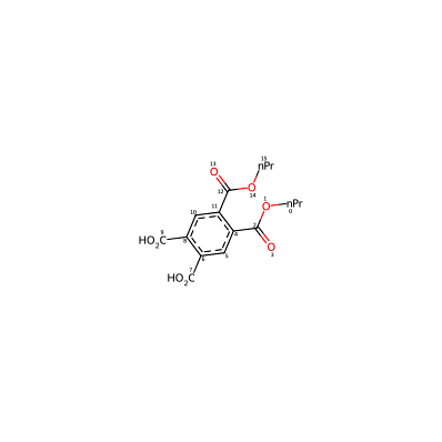 CCCOC(=O)c1cc(C(=O)O)c(C(=O)O)cc1C(=O)OCCC